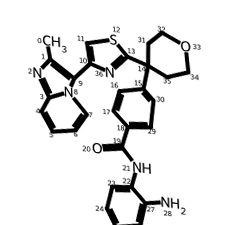 Cc1nc2ccccn2c1-c1csc(C2(c3ccc(C(=O)Nc4ccccc4N)cc3)CCOCC2)n1